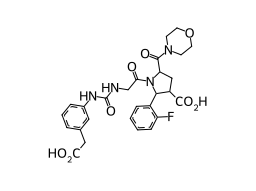 O=C(O)Cc1cccc(NC(=O)NCC(=O)N2C(C(=O)N3CCOCC3)CC(C(=O)O)C2c2ccccc2F)c1